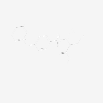 C[C@@H](O)C(C(=O)NO)N(C)S(=O)(=O)c1ccc(Oc2ccncc2)cc1